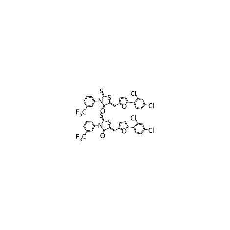 O=C1C(=Cc2ccc(-c3ccc(Cl)cc3Cl)o2)SC(=S)N1c1cccc(C(F)(F)F)c1.O=C1C(=Cc2ccc(-c3ccc(Cl)cc3Cl)o2)SC(=S)N1c1cccc(C(F)(F)F)c1